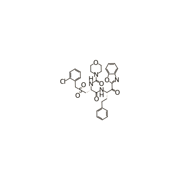 O=C(N[C@@H](CCc1ccccc1)C(=O)c1nc2ccccc2o1)[C@H](CS(=O)(=O)Cc1ccccc1Cl)NC(=O)N1CCOCC1